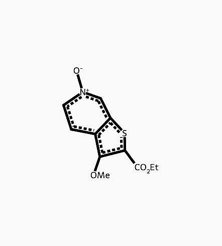 CCOC(=O)c1sc2c[n+]([O-])ccc2c1OC